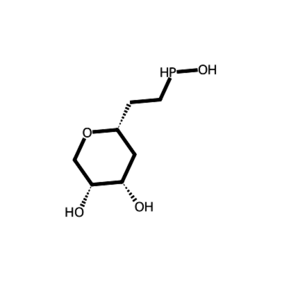 OPCC[C@@H]1C[C@H](O)[C@H](O)CO1